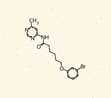 Cc1cc(NC(=O)CCCCCOc2cccc(Br)c2)ncn1